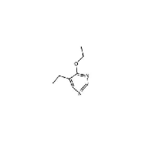 CCOc1ncncc1CC